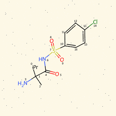 CC(C)C(C)(N)C(=O)NS(=O)(=O)c1ccc(Cl)cc1